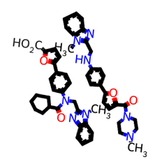 CN1CCN(C(=O)c2ccc(-c3ccc(NCc4nc5ccccc5n4C)cc3)o2)CC1.Cn1c(CN(C(=O)C2CCCCC2)c2ccc(-c3ccc(C(=O)O)o3)cc2)nc2ccccc21